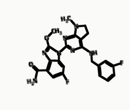 COc1nc2c(C(N)=O)cc(F)cc2n1-c1nc(NCc2cccc(F)c2)c2c(n1)N(C)CC2